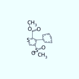 COC(=O)c1scc(S(C)(=O)=O)c1-c1ccccc1